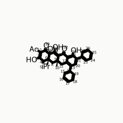 CC(=O)C1=C(O)C(C(C)C)[C@@]2(C)C[C@@]3(C)Cc4c(-c5ccccc5)cc(-c5ccccc5)c(O)c4C(=O)C3=C(O)[C@@]2(O)C1=O